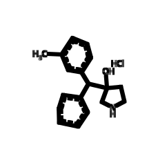 Cc1cccc(C(c2ccccc2)C2(O)CCNC2)c1.Cl